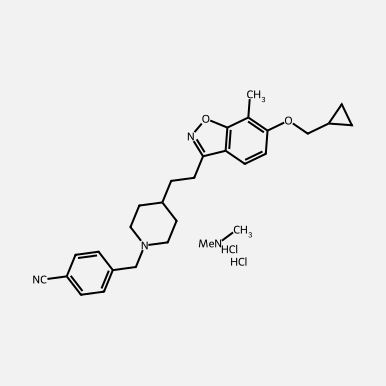 CNC.Cc1c(OCC2CC2)ccc2c(CCC3CCN(Cc4ccc(C#N)cc4)CC3)noc12.Cl.Cl